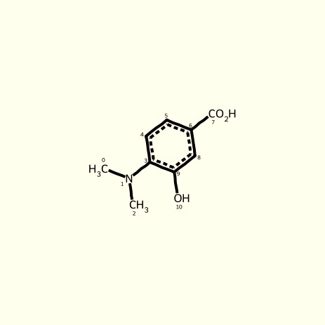 CN(C)c1ccc(C(=O)O)cc1O